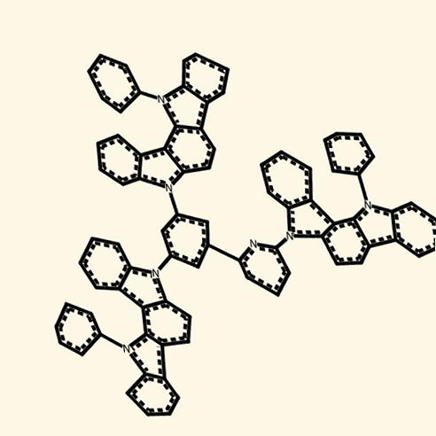 c1ccc(-n2c3ccccc3c3ccc4c(c5ccccc5n4-c4cc(-c5cccc(-n6c7ccccc7c7c6ccc6c8ccccc8n(-c8ccccc8)c67)n5)cc(-n5c6ccccc6c6c5ccc5c7ccccc7n(-c7ccccc7)c56)c4)c32)cc1